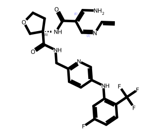 C=C/N=C\C(=C/N)C(=O)N[C@@]1(C(=O)NCc2ccc(Nc3cc(F)ccc3C(F)(F)F)cn2)CCOC1